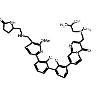 COc1nc(-c2cccc(-c3cccc(-c4ccn5c(=O)c(CN(C)CC(C)O)cnc5c4)c3Cl)c2Cl)ccc1CNCC1CCC(=O)N1